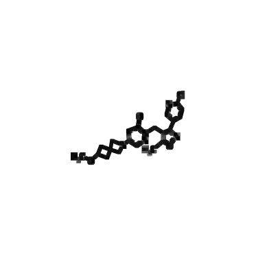 COC1CC2(C1)CN(c1cnn(Cc3c(-c4ccc(Cl)nc4)noc3C)c(=O)c1)C2